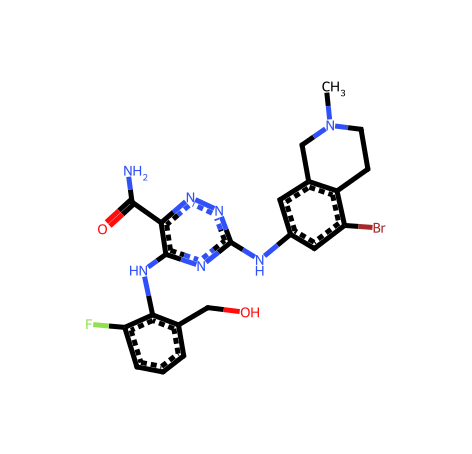 CN1CCc2c(Br)cc(Nc3nnc(C(N)=O)c(Nc4c(F)cccc4CO)n3)cc2C1